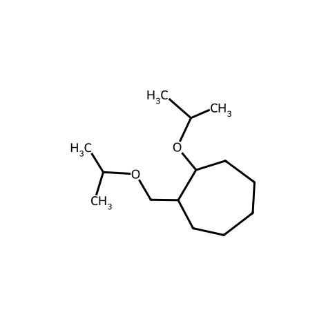 CC(C)OCC1CCCCCC1OC(C)C